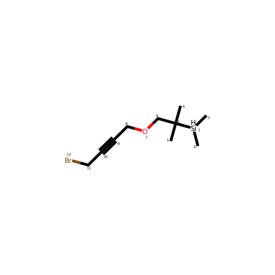 C[SiH](C)C(C)(C)COCC#CCBr